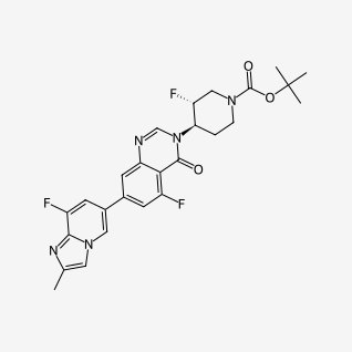 Cc1cn2cc(-c3cc(F)c4c(=O)n([C@@H]5CCN(C(=O)OC(C)(C)C)C[C@H]5F)cnc4c3)cc(F)c2n1